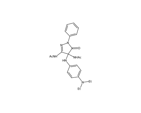 CCN(CC)c1ccc(NC2(NC(C)=O)C(=O)N(c3ccccc3)N=C2NC(C)=O)cc1